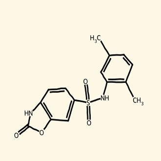 Cc1ccc(C)c(NS(=O)(=O)c2ccc3[nH]c(=O)oc3c2)c1